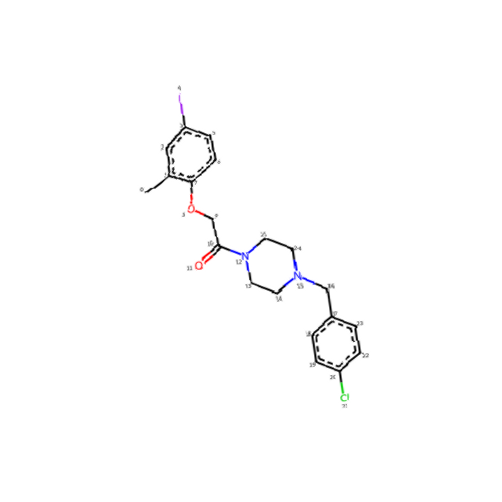 Cc1cc(I)ccc1OCC(=O)N1CCN(Cc2ccc(Cl)cc2)CC1